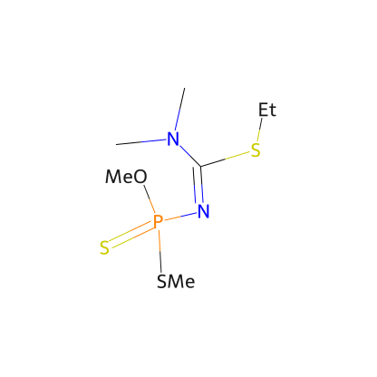 CCSC(=NP(=S)(OC)SC)N(C)C